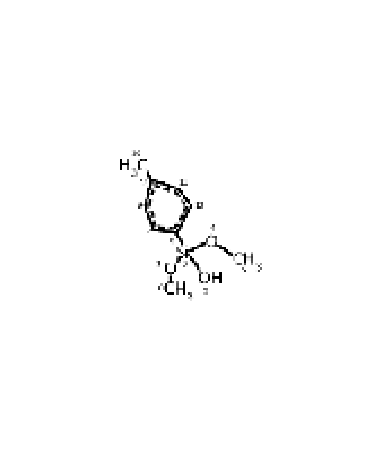 CO[Si](O)(OC)c1ccc(C)cc1